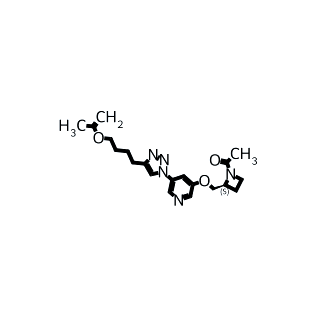 C=C(C)OCCCCc1cn(-c2cncc(OC[C@@H]3CCN3C(C)=O)c2)nn1